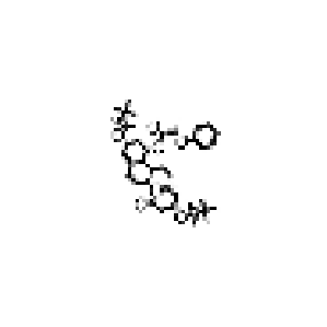 CC1C=CC2=CC(O[Si](C)(C)C(C)(C)C)CC(OC(=O)[C@H](C)Oc3ccccc3)C2C1CC[C@@H]1C[C@@H](O[Si](C)(C)C(C)(C)C)CC(=O)O1